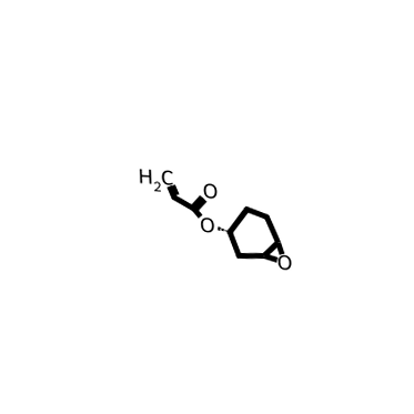 C=CC(=O)O[C@@H]1CCC2OC2C1